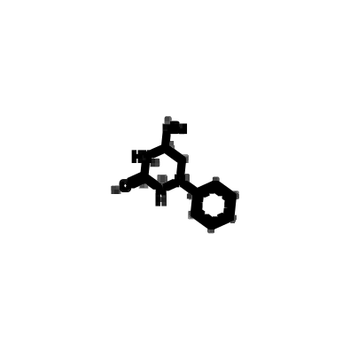 CCCCC1CN(c2ccccc2)NC(=O)N1